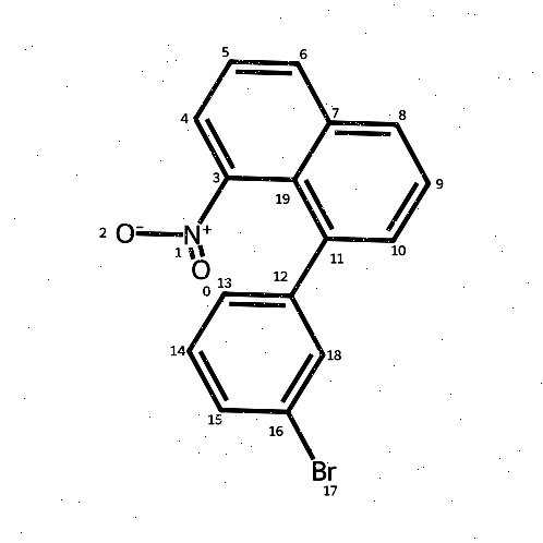 O=[N+]([O-])c1cccc2cccc(-c3cccc(Br)c3)c12